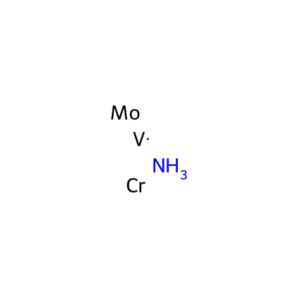 N.[Cr].[Mo].[V]